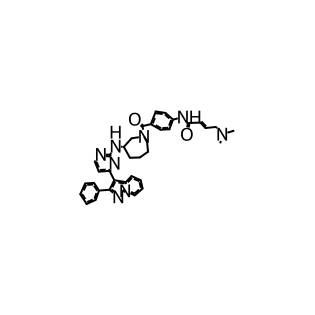 CN(C)C/C=C/C(=O)Nc1ccc(C(=O)N2CCCC[C@@H](Nc3nccc(-c4c(-c5ccccc5)nn5ccccc45)n3)C2)cc1